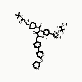 CC(C)(C)OC(=O)NC[C@H]1CC[C@H](C(=O)N(C(=O)[C@@H](N)Cc2ccc(-c3ccc(Oc4cccnc4)nc3)cc2)c2ccc(-c3nn[nH]n3)cc2)CC1.O=C(O)C(F)(F)F